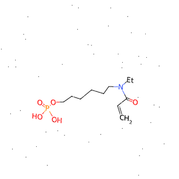 C=CC(=O)N(CC)CCCCCCOP(=O)(O)O